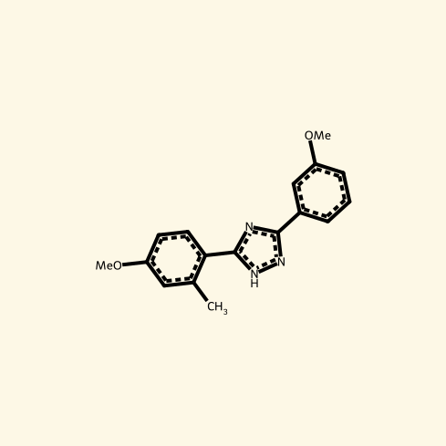 COc1cccc(-c2n[nH]c(-c3ccc(OC)cc3C)n2)c1